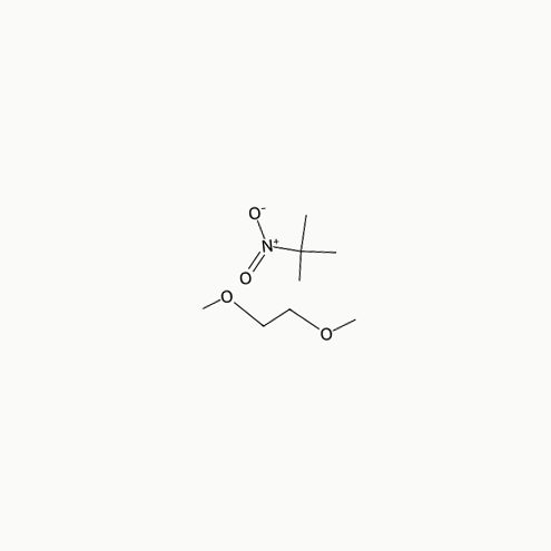 CC(C)(C)[N+](=O)[O-].COCCOC